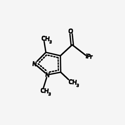 Cc1nn(C)c(C)c1C(=O)C(C)C